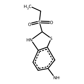 CCS(=O)(=O)C1Nc2ccc([NH])cc2S1